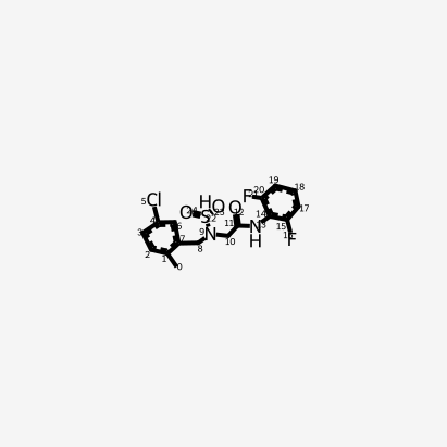 Cc1ccc(Cl)cc1CN(CC(=O)Nc1c(F)cccc1F)[SH](=O)=O